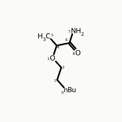 CCCCCCOC(C)C(N)=O